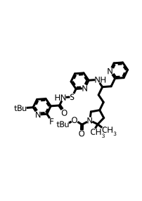 CC(C)(C)OC(=O)N1CC(CCC(Cc2ccccn2)Nc2cccc(SNC(=O)c3ccc(C(C)(C)C)nc3F)n2)CC1(C)C